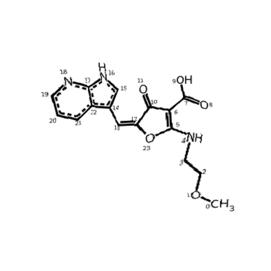 COCCNC1=C(C(=O)O)C(=O)C(=Cc2c[nH]c3ncccc23)O1